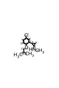 CNC1CC1c1cc(Cl)ccc1OCC(C)C